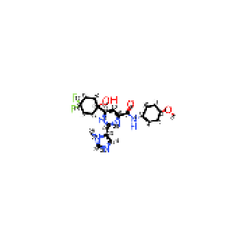 CO[C@H]1CC[C@H](NC(=O)c2cc(C3(O)CCC(F)(F)CC3)nc(-c3cncn3C)n2)CC1